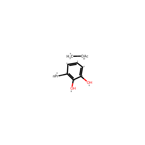 CCCc1cccc(O)c1O.COC(C)=O